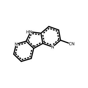 N#Cc1ccc2[nH]c3ncccc3c2n1